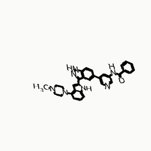 CN1CCN(c2cccc3[nH]c(-c4n[nH]c5ccc(-c6cncc(NC(=O)c7ccccc7)c6)cc45)cc23)CC1